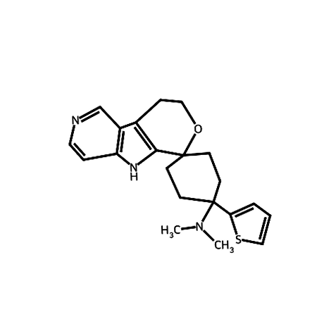 CN(C)C1(c2cccs2)CCC2(CC1)OCCc1c2[nH]c2ccncc12